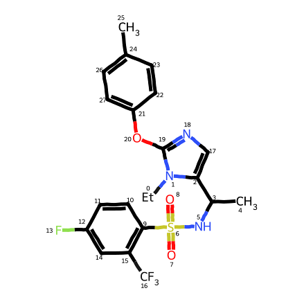 CCn1c(C(C)NS(=O)(=O)c2ccc(F)cc2C(F)(F)F)cnc1Oc1ccc(C)cc1